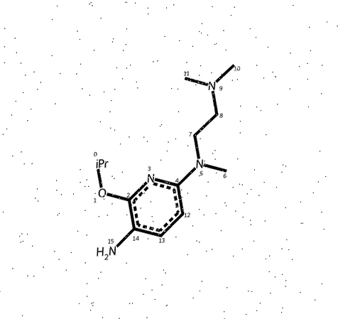 CC(C)Oc1nc(N(C)CCN(C)C)ccc1N